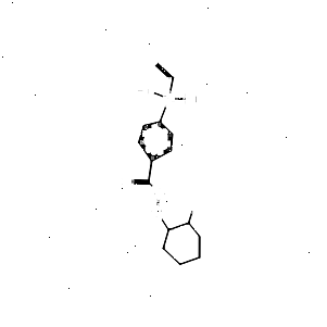 C=C[Si](CC)(CC)c1ccc(C(=O)OO[C]2CCCCC2CC)cc1